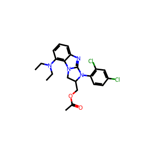 CCN(CC)c1cccc2nc3n(c12)CC(COC(C)=O)N3c1ccc(Cl)cc1Cl